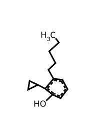 CCCCCc1cccc(O)c1C1CC1